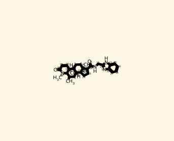 CC1C[C@@H]2[C@@H](CC[C@]3(C)C(C(=O)NCc4nc5ccccc5[nH]4)CC[C@@H]23)[C@@]2(C)C=CC(=O)N(C)C12